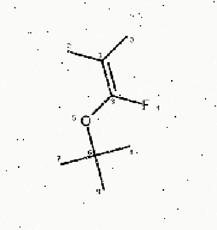 CC(C)=C(F)OC(C)(C)C